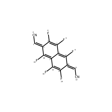 N#CC=c1c(F)c(F)c2c(F)c(=CC#N)c(F)c(F)c2c1F